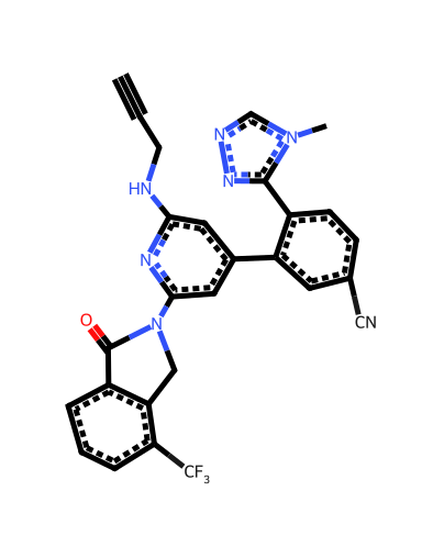 C#CCNc1cc(-c2cc(C#N)ccc2-c2nncn2C)cc(N2Cc3c(cccc3C(F)(F)F)C2=O)n1